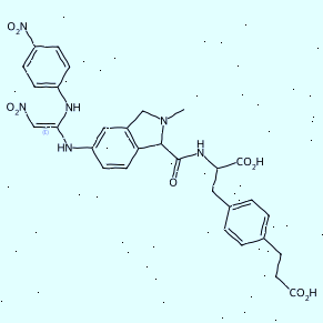 CN1Cc2cc(N/C(=C/[N+](=O)[O-])Nc3ccc([N+](=O)[O-])cc3)ccc2C1C(=O)NC(Cc1ccc(CCC(=O)O)cc1)C(=O)O